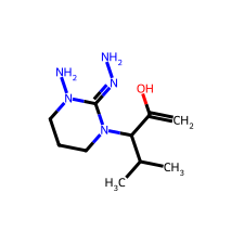 C=C(O)C(C(C)C)N1CCCN(N)/C1=N\N